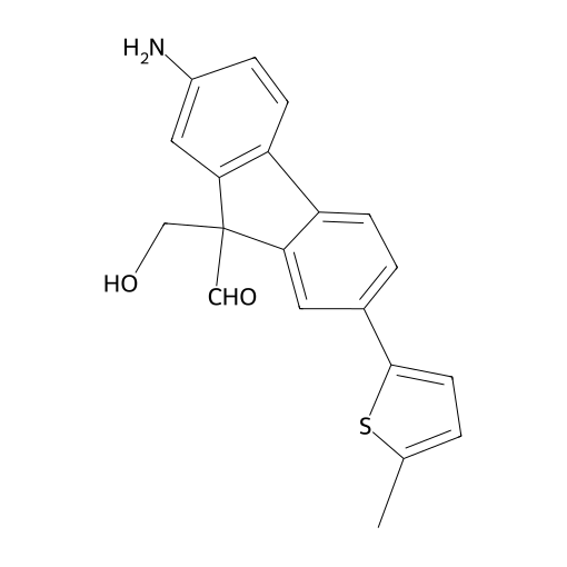 Cc1ccc(-c2ccc3c(c2)C(C=O)(CO)c2cc(N)ccc2-3)s1